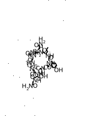 CC[C@H](C)[C@@H]1NC(=O)[C@H](Cc2ccc(O)cc2)NC(=O)CNC(=O)CC[C@@H](C(=O)N(C)CC(=O)N[C@H](C(=O)NCC(N)=O)[C@H](C)O)NC(=O)[C@H](CC(N)=O)NC(=O)[C@H](CCC(N)=O)NC1=O